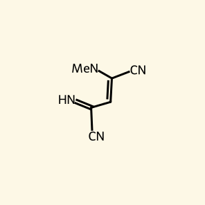 CN/C(C#N)=C\C(=N)C#N